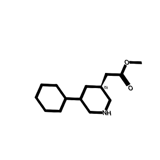 COC(=O)C[C@H]1CNCC(C2CCCCC2)C1